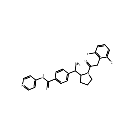 NC(c1ccc(C(=O)Nc2ccncc2)cc1)C1CCCN1C(=O)Cc1c(F)cccc1Cl